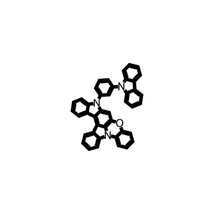 c1cc(-n2c3ccccc3c3ccccc32)cc(-n2c3ccccc3c3c4c5ccccc5n5c4c(cc32)Oc2ccccc2-5)c1